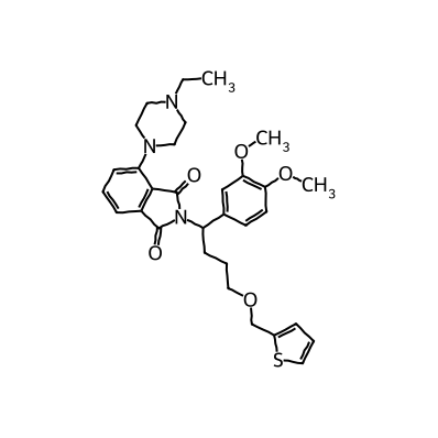 CCN1CCN(c2cccc3c2C(=O)N(C(CCCOCc2cccs2)c2ccc(OC)c(OC)c2)C3=O)CC1